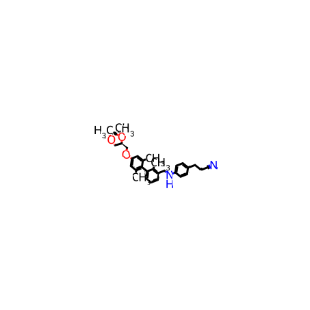 Cc1cc(OC[C@H]2COC(C)(C)O2)cc(C)c1-c1cccc(CNc2ccc(CCC#N)cc2)c1C